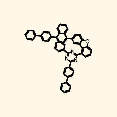 c1ccc(-c2ccc(-c3nc(-c4ccccc4)nc(-c4cccc5oc6ccc(-c7ccc(-c8ccc(-c9ccccc9)cc8)c8ccccc78)cc6c45)n3)cc2)cc1